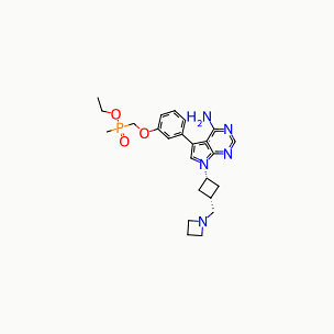 CCOP(C)(=O)COc1cccc(-c2cn([C@H]3C[C@@H](CN4CCC4)C3)c3ncnc(N)c23)c1